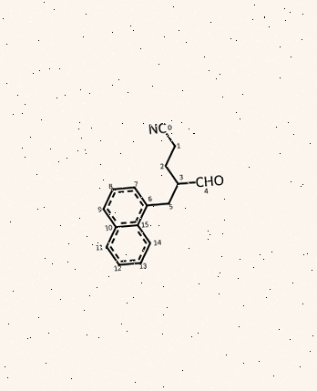 N#CCCC(C=O)Cc1cccc2ccccc12